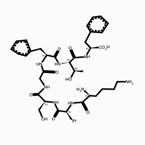 CC(C)[C@H](NC(=O)[C@@H](N)CCCCN)C(=O)N[C@@H](CO)C(=O)NCC(=O)N[C@@H](Cc1ccccc1)C(=O)N[C@H](C(=O)N[C@@H](Cc1ccccc1)C(=O)O)[C@@H](C)O